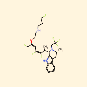 CC(/C(F)=C(F)\C=C(/CF)OCCNCCCF)[C@@H]1c2[nH]c3ccccc3c2C[C@@H](C)N1CC(F)(F)F